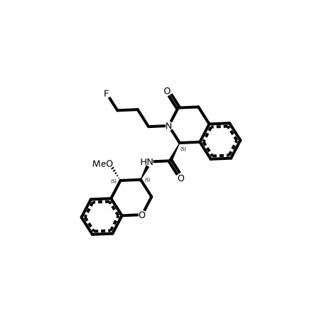 CO[C@H]1c2ccccc2OC[C@@H]1NC(=O)[C@@H]1c2ccccc2CC(=O)N1CCCF